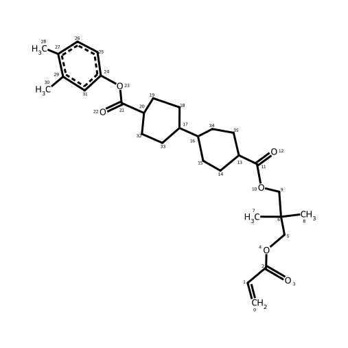 C=CC(=O)OCC(C)(C)COC(=O)C1CCC(C2CCC(C(=O)Oc3ccc(C)c(C)c3)CC2)CC1